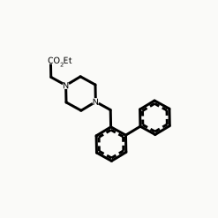 CCOC(=O)CN1CCN(Cc2ccccc2-c2ccccc2)CC1